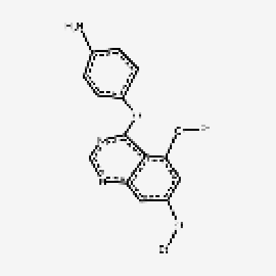 CCOc1cc(OCC)c2c(Oc3ccc(N)cc3)ncnc2c1